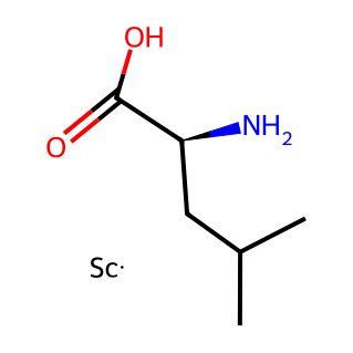 CC(C)C[C@H](N)C(=O)O.[Sc]